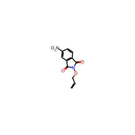 C=CCON1C(=O)c2ccc([N+](=O)[O-])cc2C1=O